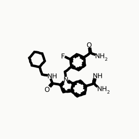 N=C(N)c1ccc2cc(C(=O)NCC3CCCCC3)n(Cc3ccc(C(N)=O)cc3F)c2c1